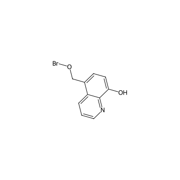 Oc1ccc(COBr)c2cccnc12